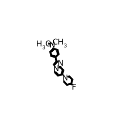 CN(C)c1ccc(-c2cn3ccc(N4CCC(F)CC4)cc3n2)cc1